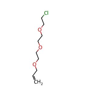 C=CCOCCOCCOCCCl